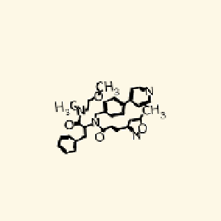 COCCN(C)C(=O)C(Cc1ccccc1)N(Cc1ccc(-c2ccncc2)cc1)C(=O)C=Cc1cc(C)on1